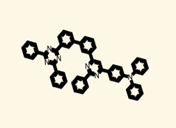 c1ccc(-c2nc(-c3ccc(N(c4ccccc4)c4ccccc4)cc3)cc(-c3cccc(-c4cccc(-c5nc(-c6ccccc6)nc(-c6ccccc6)n5)c4)c3)n2)cc1